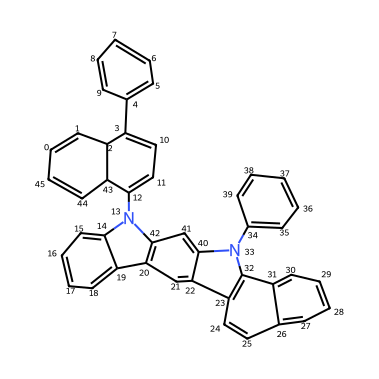 C1=CC2C(c3ccccc3)=CC=C(n3c4ccccc4c4cc5c6ccc7ccccc7c6n(-c6ccccc6)c5cc43)C2C=C1